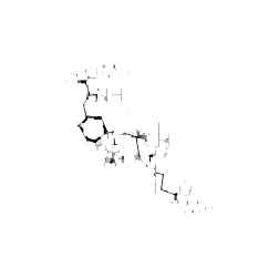 COC(=O)CCNC(=O)[C@@H]1O[P@@](=O)(Oc2ccc(C[C@H](N)C(=O)OC)cc2)OCC1(C)C